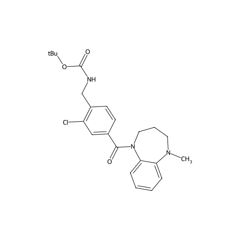 CN1CCCN(C(=O)c2ccc(CNC(=O)OC(C)(C)C)c(Cl)c2)c2ccccc21